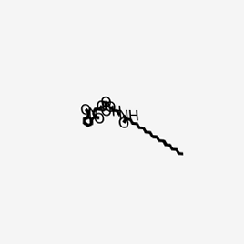 CCCCCC=CCC=CCCCCCCCC(=O)NCCCOP(=O)(O)OCCN1C(=O)c2ccccc2C1=O